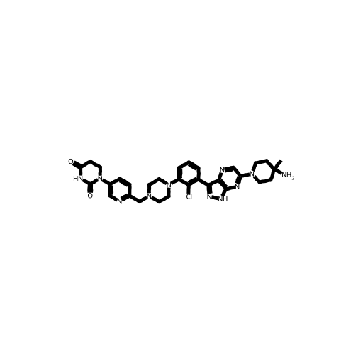 CC1(N)CCN(c2cnc3c(-c4cccc(N5CCN(Cc6ccc(N7CCC(=O)NC7=O)cn6)CC5)c4Cl)n[nH]c3n2)CC1